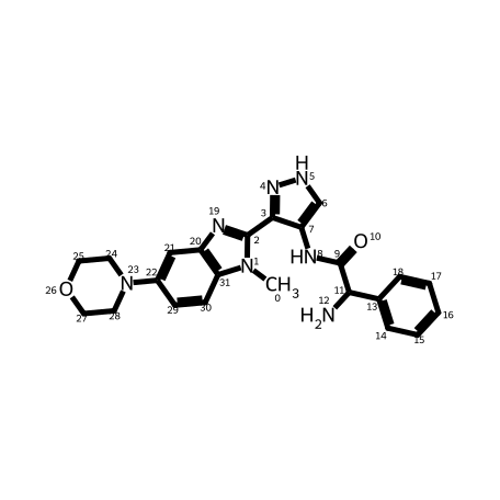 Cn1c(-c2n[nH]cc2NC(=O)C(N)c2ccccc2)nc2cc(N3CCOCC3)ccc21